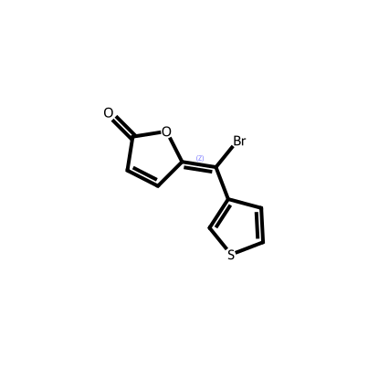 O=C1C=C/C(=C(/Br)c2ccsc2)O1